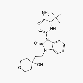 CC(C)(C)[C@H](NC(=O)n1c(=O)n(CCC2(O)CCOCC2)c2ccccc21)C(N)=O